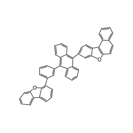 c1cc(-c2c3ccccc3c(-c3ccc4c(c3)oc3ccc5ccccc5c34)c3ccccc23)cc(-c2cccc3c2oc2ccccc23)c1